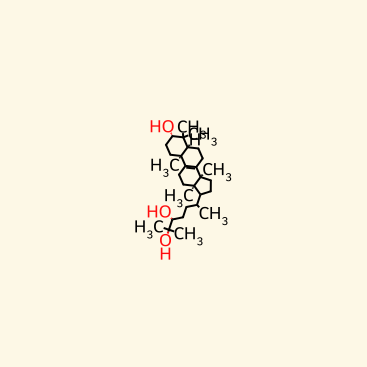 CC(CCC(O)C(C)(C)O)C1CC[C@@]2(C)C3=C(CC[C@]12C)[C@@]1(C)CC[C@H](O)C(C)(C)[C@@H]1CC3